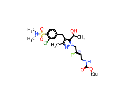 Cc1nn(C/C(F)=C/CNC(=O)OC(C)(C)C)c(C(C)O)c1Cc1ccc(S(=O)(=O)N(C)C)c(Cl)c1